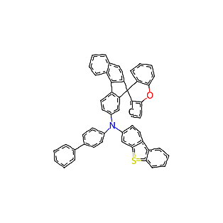 c1ccc(-c2ccc(N(c3ccc4c(c3)C3(c5ccccc5Oc5ccccc53)c3ccc5ccccc5c3-4)c3ccc4c(c3)sc3ccccc34)cc2)cc1